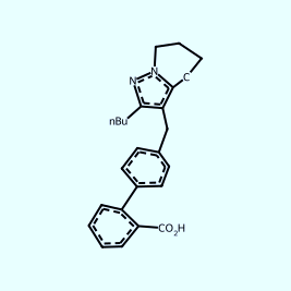 CCCCc1nn2c(c1Cc1ccc(-c3ccccc3C(=O)O)cc1)CCCC2